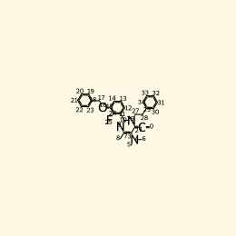 C=C=C1C(N(C)C)=C(C)N=C(c2cccc(OCc3ccccc3)c2F)N1CCc1ccccc1